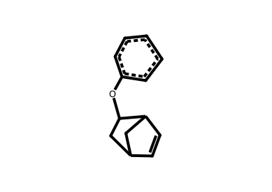 C1=CC2CC1CC2Oc1ccccc1